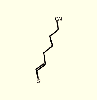 N#CCCCCC=C[S]